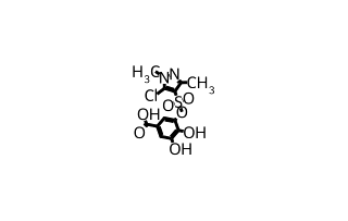 Cc1nn(C)c(Cl)c1S(=O)(=O)Oc1cc(C(=O)O)cc(O)c1O